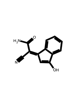 N#CC(C(N)=O)=C1C=C(O)c2ccccc21